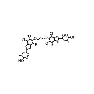 COc1c(Cl)c2c(c(F)c1OCCCOc1c(OC)c(F)c3sc(C(=O)CC(C)C(=O)O)cc3c1Cl)CN(C(=O)CC(C)C(=O)O)C2